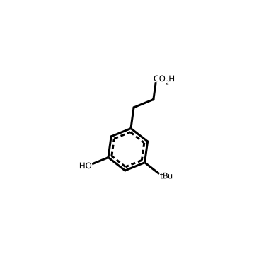 CC(C)(C)c1cc(O)cc(CCC(=O)O)c1